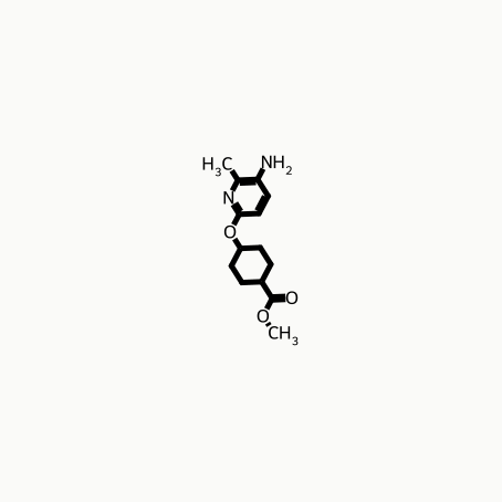 COC(=O)C1CCC(Oc2ccc(N)c(C)n2)CC1